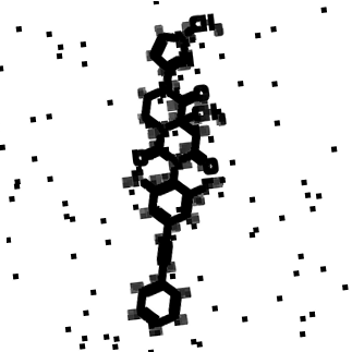 Cn1ccc(N2CCN3C(=O)N(c4c(F)cc(C#Cc5ccccc5)cc4F)C(=O)CC3(C)C2=O)n1